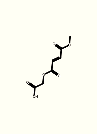 COC(=O)C=CC(=O)OCC(=O)O